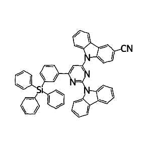 N#Cc1ccc2c(c1)c1ccccc1n2-c1cc(-c2cccc([Si](c3ccccc3)(c3ccccc3)c3ccccc3)c2)nc(-n2c3ccccc3c3ccccc32)n1